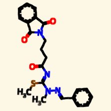 CSC(=NC(=O)CCCN1C(=O)c2ccccc2C1=O)N(C)N=Cc1ccccc1